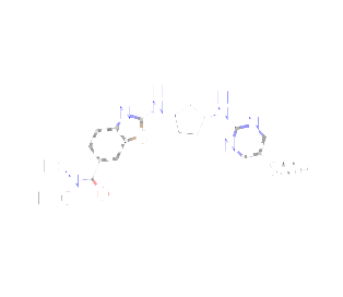 CSc1cnc(N[C@H]2CC[C@H](Nc3nc4ccc(C(=O)N(C)C)cc4s3)C2)nc1